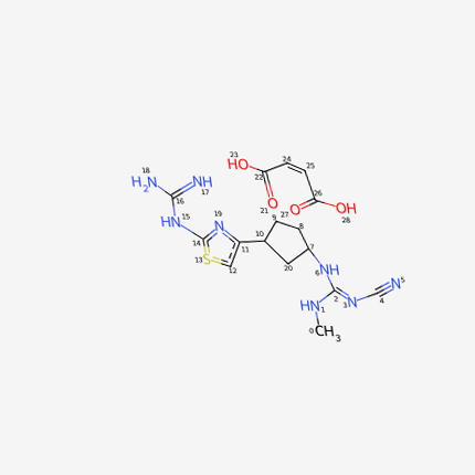 CN/C(=N/C#N)NC1CCC(c2csc(NC(=N)N)n2)C1.O=C(O)/C=C\C(=O)O